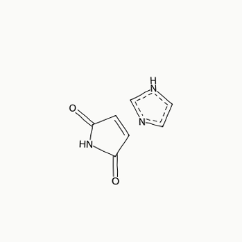 O=C1C=CC(=O)N1.c1c[nH]cn1